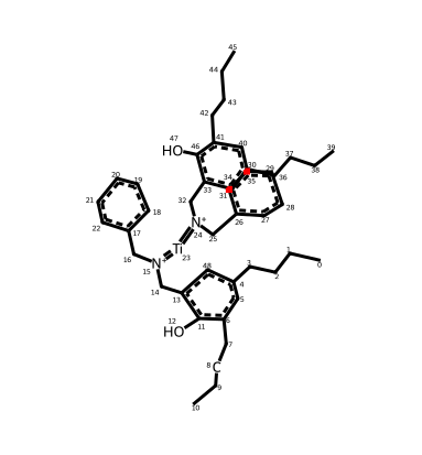 CCCCc1cc(CCCC)c(O)c(C[N+](Cc2ccccc2)=[Ti]=[N+](Cc2ccccc2)Cc2cc(CCCC)cc(CCCC)c2O)c1